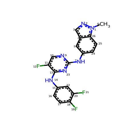 Cn1ncc2cc(Nc3ncc(F)c(Nc4ccc(F)c(F)c4)n3)ccc21